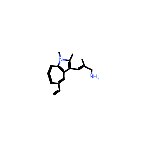 C=CC1=Cc2c(/C=C(\C)CN)c(C)n(C)c2C=C=C1